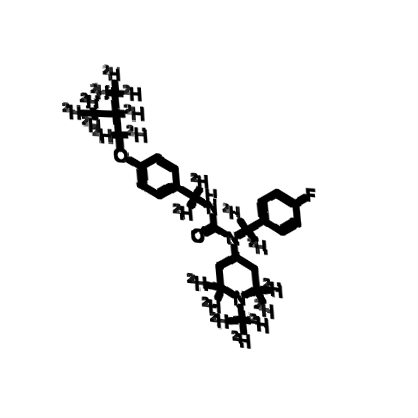 [2H]C([2H])(NC(=O)N(C1CC([2H])([2H])N(C([2H])([2H])[2H])C([2H])([2H])C1)C([2H])([2H])c1ccc(F)cc1)c1ccc(OC([2H])([2H])C([2H])(C([2H])([2H])[2H])C([2H])([2H])[2H])cc1